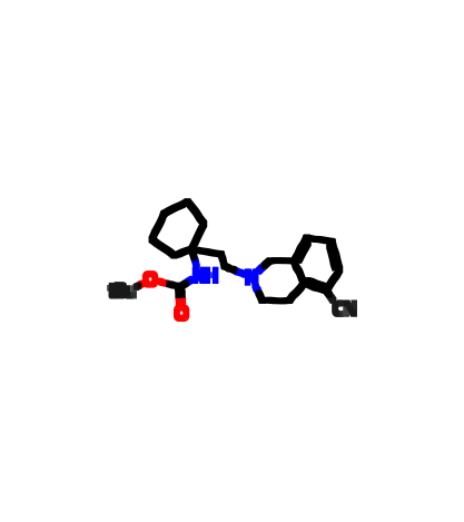 CC(C)(C)OC(=O)NC1(CCN2CCc3c(C#N)cccc3C2)CCCCC1